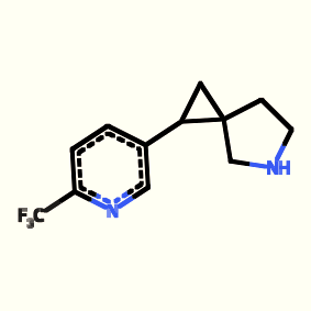 FC(F)(F)c1ccc(C2CC23CCNC3)cn1